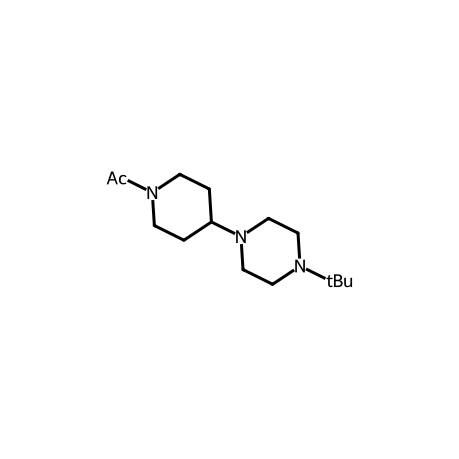 CC(=O)N1CCC(N2CCN(C(C)(C)C)CC2)CC1